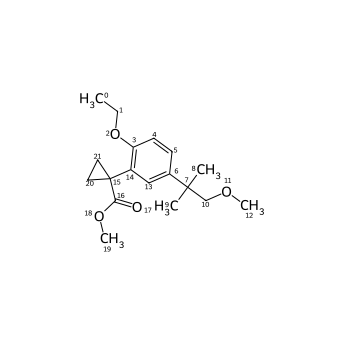 CCOc1ccc(C(C)(C)COC)cc1C1(C(=O)OC)CC1